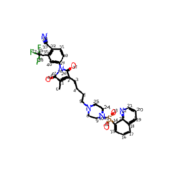 CC1=C(CCCCN2CCN(S(=O)(=O)c3cccc4cccnc34)CC2)C(=O)N(c2ccc(C#N)c(C(F)(F)F)c2)C1=O